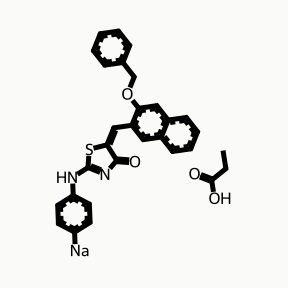 CCC(=O)O.O=C1N=C(Nc2cc[c]([Na])cc2)SC1=Cc1cc2ccccc2cc1OCc1ccccc1